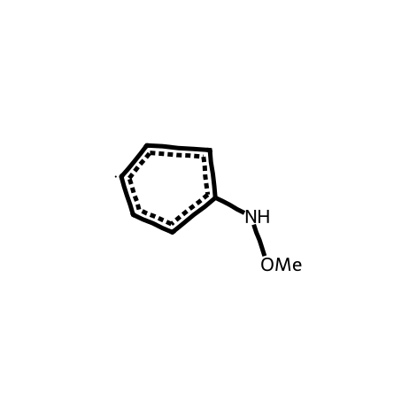 CONc1cc[c]cc1